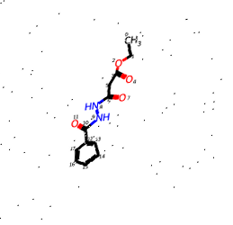 CCOC(=O)CC(=O)NNC(=O)c1ccccc1